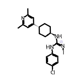 Cc1cc([C@H]2CC[C@H](N/C(=N/I)Nc3ccc(Cl)cc3)CC2)cc(C)n1